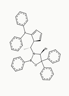 CC(C)[C@@H]1N([C@H](C)[C@@H]2C=CC=C2P(c2ccccc2)c2ccccc2)B(c2ccccc2)OC1(c1ccccc1)c1ccccc1